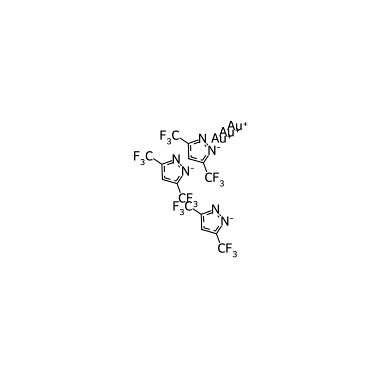 FC(F)(F)c1cc(C(F)(F)F)[n-]n1.FC(F)(F)c1cc(C(F)(F)F)[n-]n1.FC(F)(F)c1cc(C(F)(F)F)[n-]n1.[Au+].[Au+].[Au+]